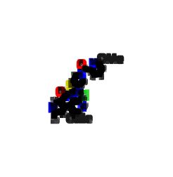 COc1cccc(C(=O)N2Cc3nc(NC(=O)c4cnc(C)cc4-c4cc(Cl)ncc4OC)sc3C2)n1